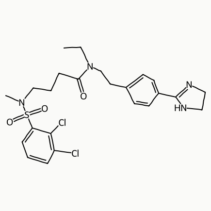 CCN(CCc1ccc(C2=NCCN2)cc1)C(=O)CCCN(C)S(=O)(=O)c1cccc(Cl)c1Cl